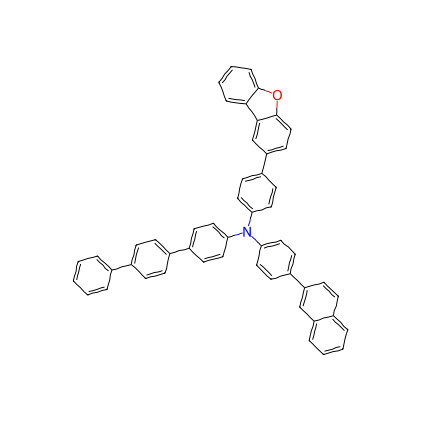 c1ccc(-c2ccc(-c3ccc(N(c4ccc(-c5ccc6ccccc6c5)cc4)c4ccc(-c5ccc6oc7ccccc7c6c5)cc4)cc3)cc2)cc1